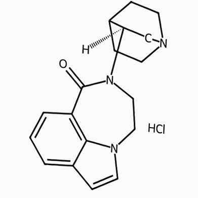 Cl.O=C1c2cccc3ccn(c23)CCN1[C@@H]1CN2CCC1CC2